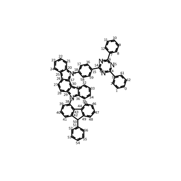 c1ccc(-c2nc(-c3ccccc3)nc(-c3ccc(-n4c5ccccc5c5ccc6c(c7ccccc7n6-c6cccc7c6-c6ccccc6C7c6ccccc6)c54)cc3)n2)cc1